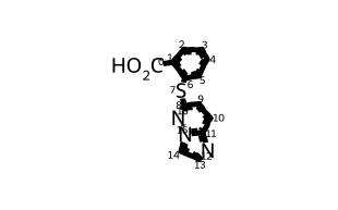 O=C(O)c1ccccc1Sc1ccc2nccn2n1